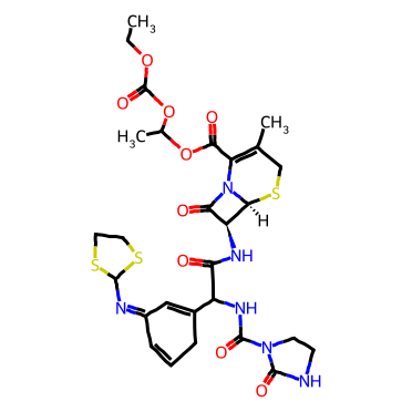 CCOC(=O)OC(C)OC(=O)C1=C(C)CS[C@H]2[C@@H](NC(=O)C(NC(=O)N3CCNC3=O)C3=CC(=NC4SCCS4)C=CC3)C(=O)N12